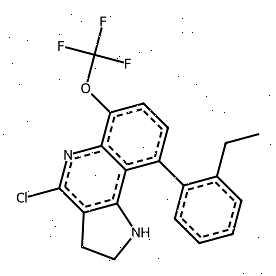 CCc1ccccc1-c1ccc(OC(F)(F)F)c2nc(Cl)c3c(c12)NCC3